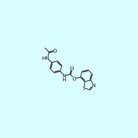 CC(=O)Nc1ccc(NC(=O)Oc2cccc3ncsc23)cc1